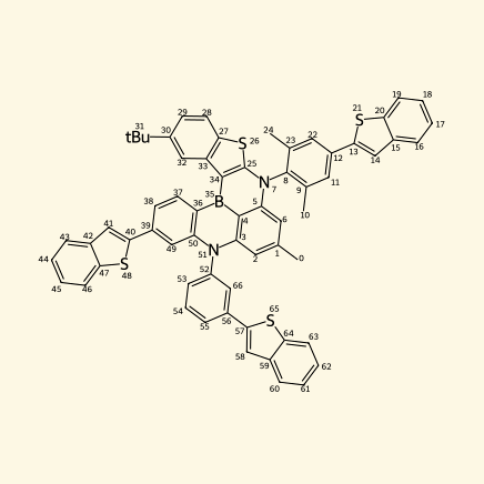 Cc1cc2c3c(c1)N(c1c(C)cc(-c4cc5ccccc5s4)cc1C)c1sc4ccc(C(C)(C)C)cc4c1B3c1ccc(-c3cc4ccccc4s3)cc1N2c1cccc(-c2cc3ccccc3s2)c1